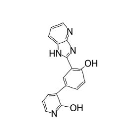 Oc1ccc(-c2cccnc2O)cc1-c1nc2ncccc2[nH]1